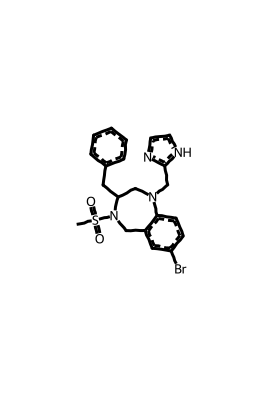 CS(=O)(=O)N1Cc2cc(Br)ccc2N(Cc2ncc[nH]2)CC1Cc1ccccc1